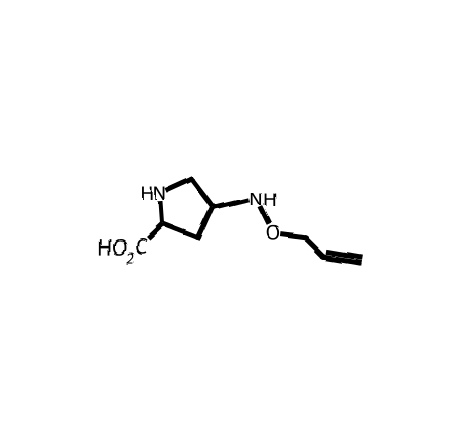 C=CCONC1CNC(C(=O)O)C1